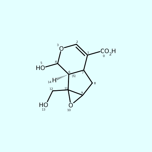 O=C(O)C1=COC(O)[C@H]2C1CC1OC12CO